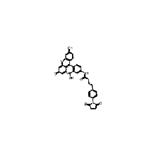 O=C(CCCc1ccc(N2C(=O)C=CC2=O)cc1)Nc1ccc(-c2c3ccc(=O)cc-3oc3cc(O)ccc23)c(C(=O)O)c1